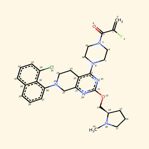 C=C(F)C(=O)N1CCN(c2nc(OC[C@H]3CCCN3C)nc3c2CCN(c2cccc4cccc(Cl)c24)C3)CC1